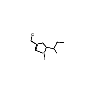 CCC(C)C1CC(CCl)=CN1I